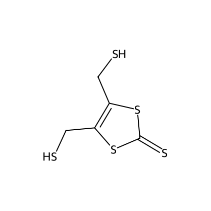 S=c1sc(CS)c(CS)s1